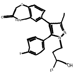 CCC(O)CCn1nc(C)c(-c2ccc3c(c2)NC(=O)CO3)c1-c1ccc(F)cc1